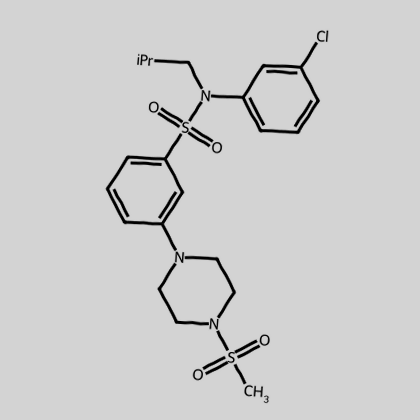 CC(C)CN(c1cccc(Cl)c1)S(=O)(=O)c1cccc(N2CCN(S(C)(=O)=O)CC2)c1